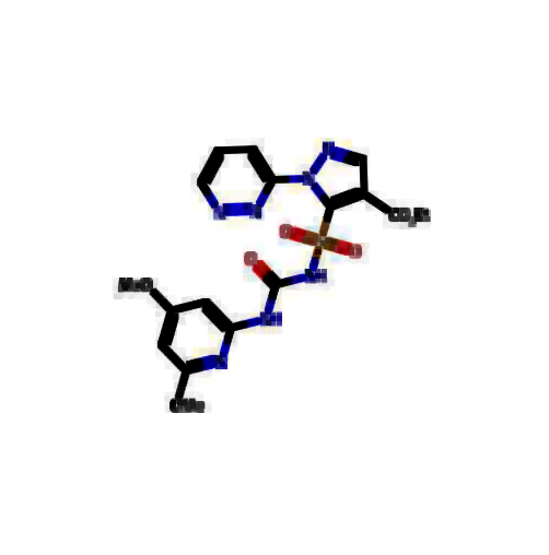 CCOC(=O)c1cnn(-c2cccnn2)c1S(=O)(=O)NC(=O)Nc1cc(OC)cc(OC)n1